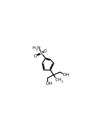 CC(CO)(CO)c1ccc(S(N)(=O)=O)cc1